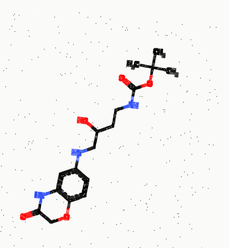 CC(C)(C)OC(=O)NCCC(O)CNc1ccc2c(c1)NC(=O)CO2